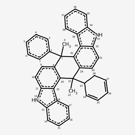 CC1(c2ccccc2)c2ccc3[nH]c4ccccc4c3c2C(C)(C2C=CC=CC2)c2ccc3[nH]c4ccccc4c3c21